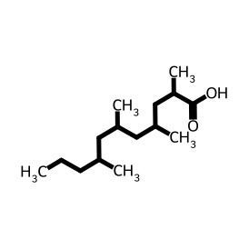 CCCC(C)CC(C)CC(C)CC(C)C(=O)O